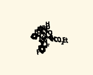 CCOC(=O)N1CC([C@H](c2nc(-c3cc(F)ccc3F)cn2Cc2ccccc2)N2C[C@@H]3C(NC[C@@H]3F)[C@H](O)C2=O)C1